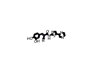 N#C/C(=C\c1ccc(O)c(O)c1)C(=O)Nc1ncc(-c2cnccn2)s1